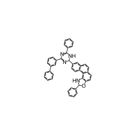 c1ccc(C2=NC(c3cccc(-c4ccccc4)c3)=NC(c3ccc4c(ccc5ccc6c(c54)NC(c4ccccc4)O6)c3)N2)cc1